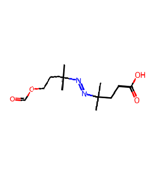 CC(C)(CCOC=O)N=NC(C)(C)CCC(=O)O